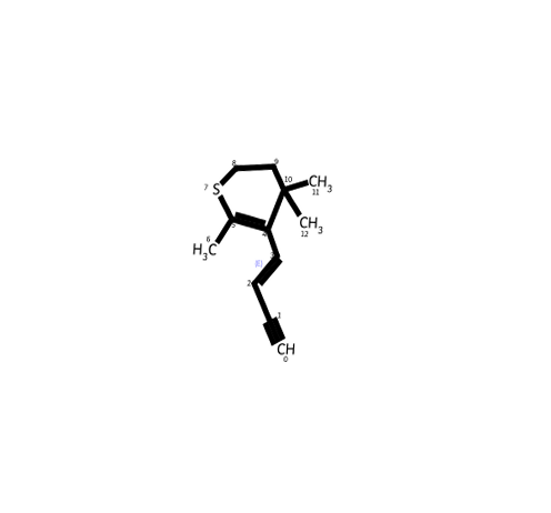 C#C/C=C/C1=C(C)SCCC1(C)C